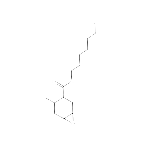 CCCCCCCOC(=O)C1CC2OC2CC1C